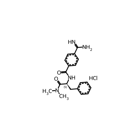 CN(C)C(=O)[C@H](Cc1ccccc1)NC(=O)c1ccc(C(=N)N)cc1.Cl